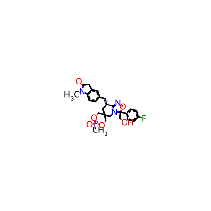 CN1C(=O)Cc2cc(/C=C3\CC4(COP(C)(=O)OC4)CN4C3=NOC4(CO)c3ccc(F)cc3)ccc21